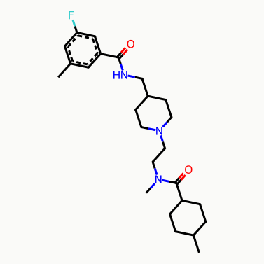 Cc1cc(F)cc(C(=O)NCC2CCN(CCN(C)C(=O)C3CCC(C)CC3)CC2)c1